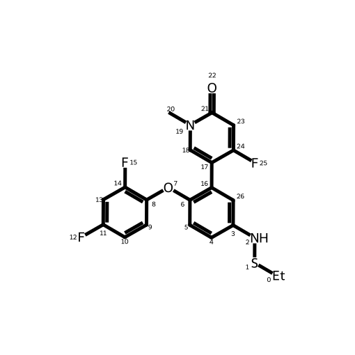 CCSNc1ccc(Oc2ccc(F)cc2F)c(-c2cn(C)c(=O)cc2F)c1